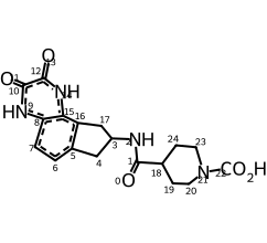 O=C(NC1Cc2ccc3[nH]c(=O)c(=O)[nH]c3c2C1)C1CCN(C(=O)O)CC1